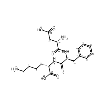 NCCCC[C@H](NC(=O)[C@H](Cc1ccccc1)NC(=O)[C@@H](N)CC(=O)O)C(=O)O